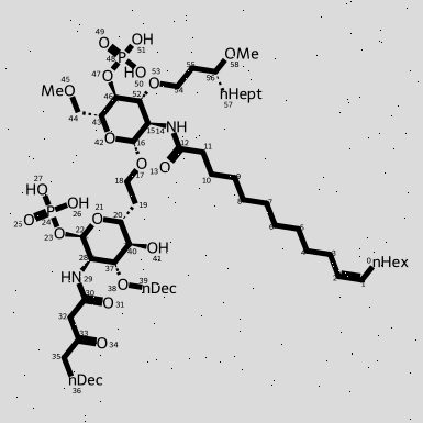 CCCCCC/C=C\CCCCCCCCCC(=O)N[C@H]1[C@H](OCC[C@H]2O[C@H](OP(=O)(O)O)[C@H](NC(=O)CC(=O)CCCCCCCCCCC)[C@@H](OCCCCCCCCCC)[C@@H]2O)O[C@H](COC)[C@@H](OP(=O)(O)O)[C@@H]1OCC[C@@H](CCCCCCC)OC